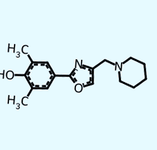 Cc1cc(-c2nc(CN3CCCCC3)co2)cc(C)c1O